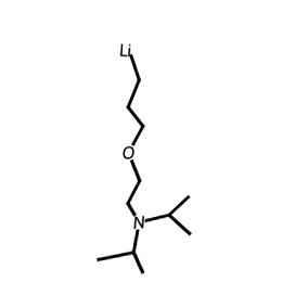 [Li][CH2]CCOCCN(C(C)C)C(C)C